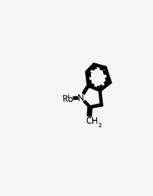 C=C1Cc2ccccc2[N]1[Rb]